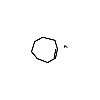 C1=CCCCCCC1.[Pd]